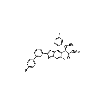 COC(=O)C(OC(C)(C)C)c1c(C)cc2nc(-c3cccc(-c4ccc(F)cc4)c3)cn2c1-c1ccc(C)cc1